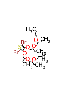 CCCCOC(CC)COC(CC)COc1c(Br)sc(Br)c1OCC(CC)OCC(CC)OCCCC